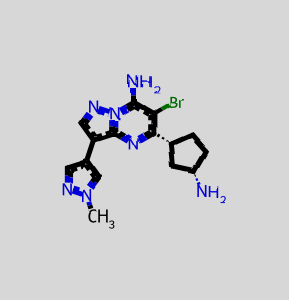 Cn1cc(-c2cnn3c(N)c(Br)c([C@@H]4CC[C@H](N)C4)nc23)cn1